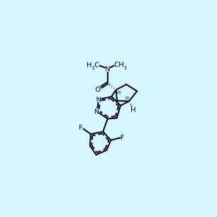 CN(C)C(=O)[C@]12CC[C@H](C1)c1cc(-c3c(F)cccc3F)nnc12